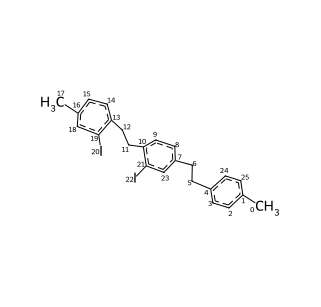 Cc1ccc(CCc2ccc(CCc3ccc(C)cc3I)c(I)c2)cc1